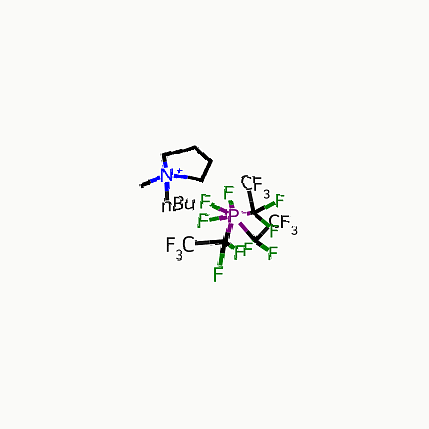 CCCC[N+]1(C)CCCC1.FC(F)(F)C(F)(F)[P-](F)(F)(F)(C(F)(F)C(F)(F)F)C(F)(F)C(F)(F)F